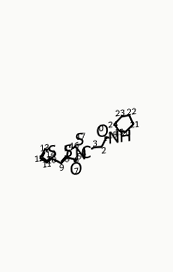 O=C(CCCN1C(=O)/C(=C/c2cccs2)SC1=S)NC1CCCCC1